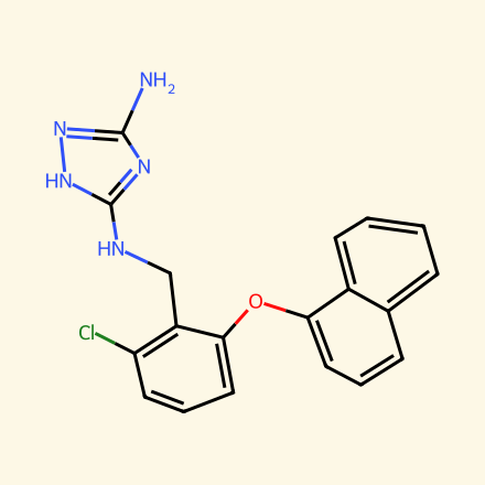 Nc1n[nH]c(NCc2c(Cl)cccc2Oc2cccc3ccccc23)n1